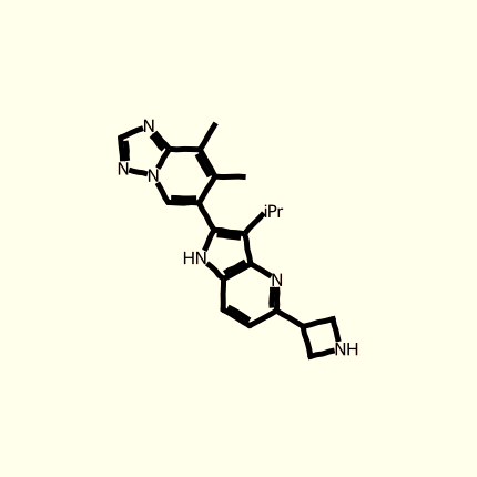 Cc1c(-c2[nH]c3ccc(C4CNC4)nc3c2C(C)C)cn2ncnc2c1C